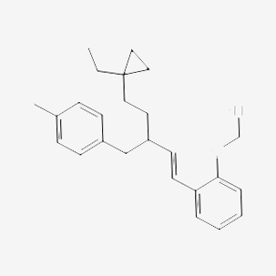 [2H]COc1ccccc1/C=C/C(CCC1(CC)CC1)Cc1ccc(C)cc1